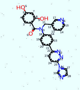 O=C(c1ccc(O)cc1O)N(Cc1cccnc1)c1ccc(-c2ccc(-n3ccnc3)nn2)cc1